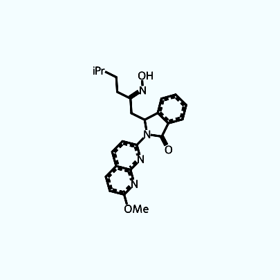 COc1ccc2ccc(N3C(=O)c4ccccc4C3CC(CCC(C)C)=NO)nc2n1